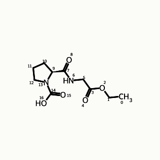 CCOC(=O)CNC(=O)[C@@H]1CCCN1C(=O)O